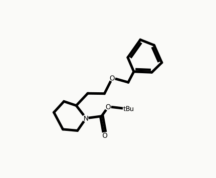 CC(C)(C)OC(=O)N1CCCCC1CCOCc1ccccc1